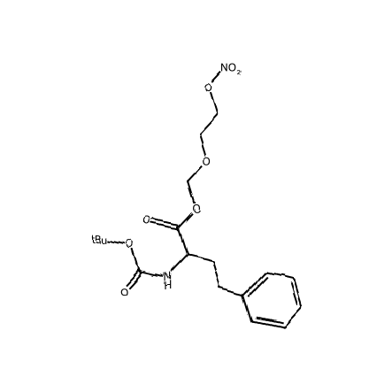 CC(C)(C)OC(=O)NC(CCc1ccccc1)C(=O)OCOCCO[N+](=O)[O-]